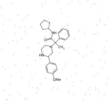 COc1ccc(C2CN(C(C)(C(=O)NC3CCCC3)c3ccccc3)CCN2)cc1